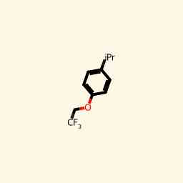 CC(C)c1ccc(OCC(F)(F)F)cc1